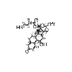 CCCC1O[C@@H]2CC3[C@@H]4CCC5=CC(=O)C=C[C@]5(C)C4[C@@H](O)C[C@]3(C)[C@]2(C(=O)COC(=O)N(C)CCS)O1